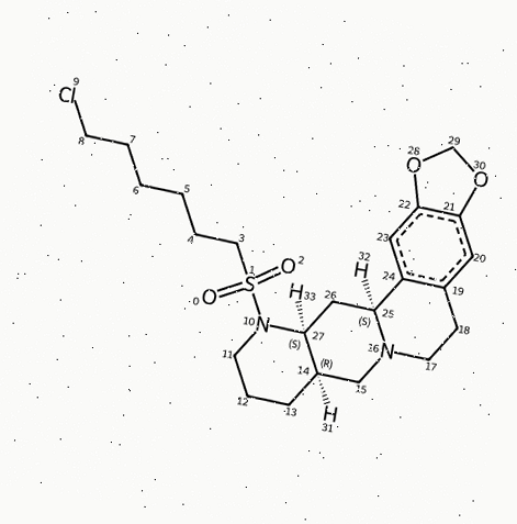 O=S(=O)(CCCCCCCl)N1CCC[C@@H]2CN3CCc4cc5c(cc4[C@@H]3C[C@@H]21)OCO5